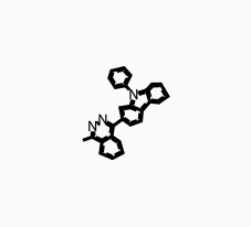 Cc1nnc(-c2ccc3c4ccccc4n(-c4ccccc4)c3c2)c2ccccc12